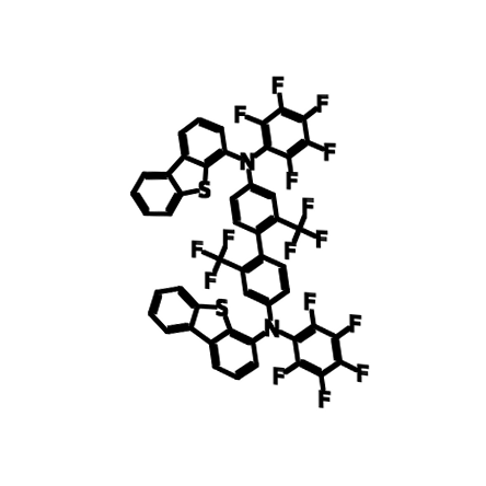 Fc1c(F)c(F)c(N(c2ccc(-c3ccc(N(c4c(F)c(F)c(F)c(F)c4F)c4cccc5c4sc4ccccc45)cc3C(F)(F)F)c(C(F)(F)F)c2)c2cccc3c2sc2ccccc23)c(F)c1F